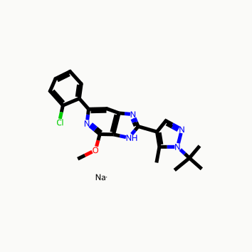 COc1nc(-c2ccccc2Cl)cc2nc(-c3cnn(C(C)(C)C)c3C)[nH]c12.[Na]